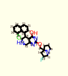 Oc1nc(OCC23CCCN2CC(F)C3)nc2c1C(c1cccc3cccc(Cl)c13)CNC2